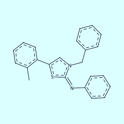 Cc1ccccc1-c1cn(Cc2ccccc2)/c(=N\c2ccccc2)s1